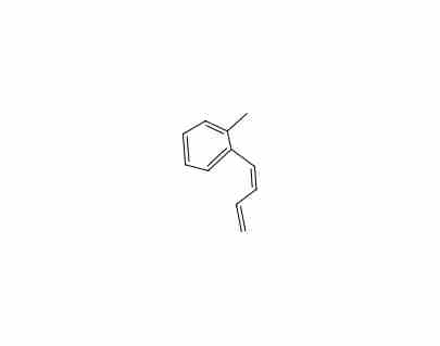 C=C/C=C\c1ccccc1C